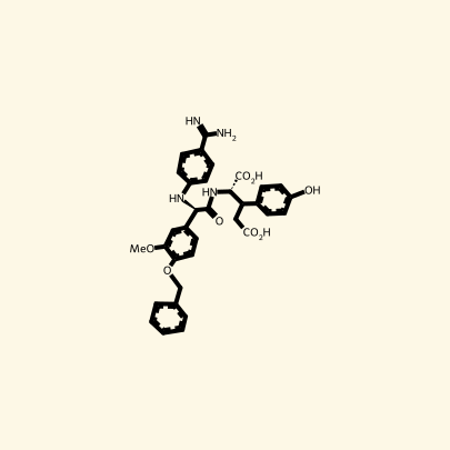 COc1cc([C@@H](Nc2ccc(C(=N)N)cc2)C(=O)N[C@H](C(=O)O)C(CC(=O)O)c2ccc(O)cc2)ccc1OCc1ccccc1